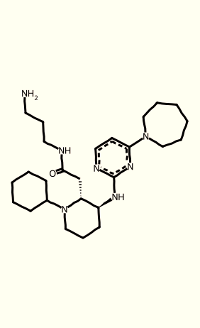 NCCCNC(=O)C[C@@H]1[C@@H](Nc2nccc(N3CCCCCC3)n2)CCCN1C1CCCCC1